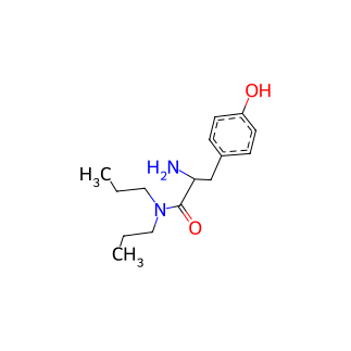 CCCN(CCC)C(=O)C(N)Cc1ccc(O)cc1